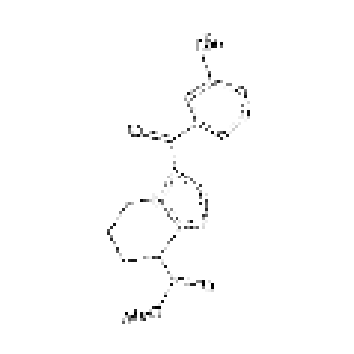 CCCCc1cccc(C(=O)c2ccc3n2CCCC3C(=O)OC)c1